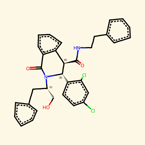 O=C(NCCc1ccccc1)[C@@H]1c2ccccc2C(=O)N([C@H](CO)Cc2ccccc2)[C@H]1c1ccc(Cl)cc1Cl